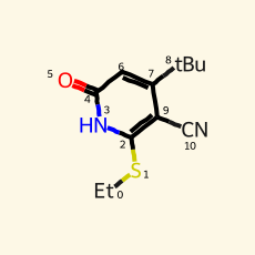 CCSc1[nH]c(=O)cc(C(C)(C)C)c1C#N